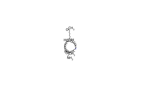 CC(=O)CCCCCCNC1(C)CCCCC/C=C\CCC[C@@](C)(C(=O)CCN)NCCCCCCC1=O